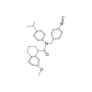 [C-]#[N+]c1ccc(CN(C(=O)C2CCCc3ccc(OC)cc32)c2ccc(C(C)C)cc2)cc1